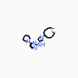 c1cc(N2CCCCCC2)nc(NC2CCN(C3CCCCCCCCC3)C2)n1